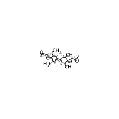 CCc1cc(-c2cc(C)c(OCC3CO3)c(C)c2)cc(C)c1OCC1CO1